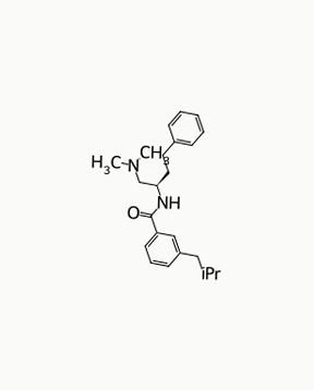 CC(C)Cc1cccc(C(=O)N[C@H](CCc2ccccc2)CN(C)C)c1